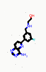 Nc1ncnc2ccc(-c3cc(F)cc(CNCCO)c3)nc12